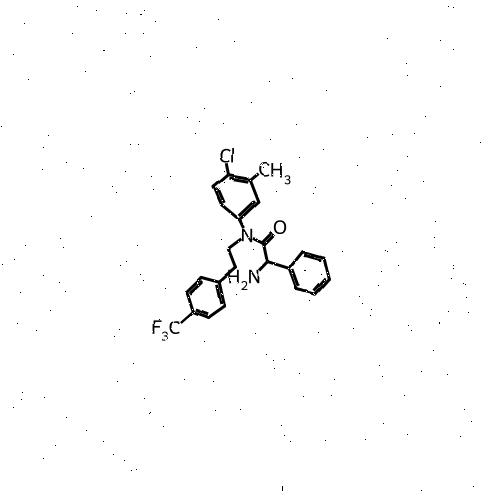 Cc1cc(N(CCc2ccc(C(F)(F)F)cc2)C(=O)C(N)c2ccccc2)ccc1Cl